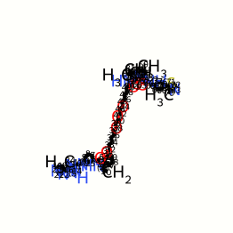 C=C[C@H](NC(=O)c1cccc(NCc2nnc(-c3ccncn3)n2C)c1)c1cccc(OCCCCCCOCCOCCOCCCCCC(=O)N[C@H](C(=O)N2C[C@H](C)C[C@H]2C(=O)NCc2ccc(-c3scnc3C)cc2)C(C)(C)C)c1